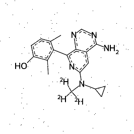 [2H]C([2H])([2H])N(c1cc2c(N)ncnc2c(-c2c(C)ccc(O)c2C)n1)C1CC1